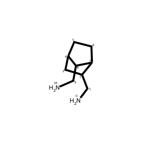 NCC1CC2CCC1C2CN